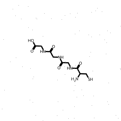 NC(CS)C(=O)NCC(=O)NCC(=O)NCC(=O)O